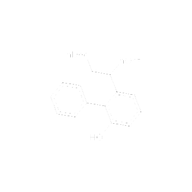 CCCCCCCCCCCC(CCCCCCCC)c1cccc(O)c1-c1ccccc1